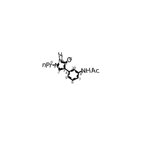 CCCn1cc(-c2cccc(NC(C)=O)c2)c(=O)[nH]1